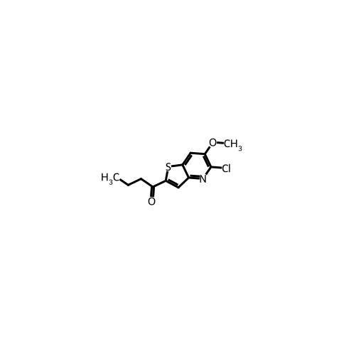 CCCC(=O)c1cc2nc(Cl)c(OC)cc2s1